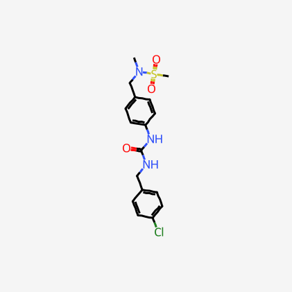 CN(Cc1ccc(NC(=O)NCc2ccc(Cl)cc2)cc1)S(C)(=O)=O